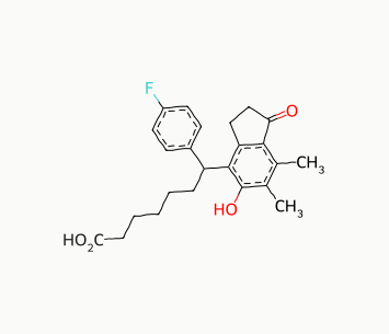 Cc1c(C)c2c(c(C(CCCCCC(=O)O)c3ccc(F)cc3)c1O)CCC2=O